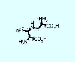 CCCC(NCC(N)C(=O)O)C(N)C(=O)O